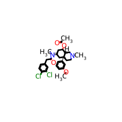 COc1cccc([C@@]23CCN(C)C[C@H]2C(OC(C)=O)C[C@@H](N(C)C(=O)Cc2ccc(Cl)c(Cl)c2)C3)c1